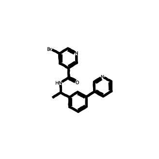 CC(NC(=O)c1cncc(Br)c1)c1cccc(-c2cccnc2)c1